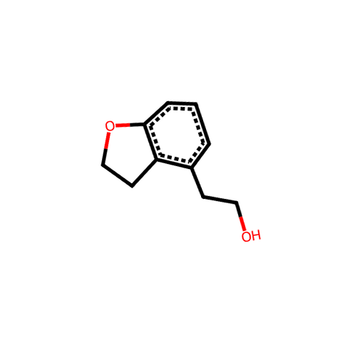 OCCc1cccc2c1CCO2